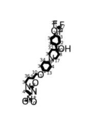 O=[N+]([O-])c1cn2c(n1)OC(COc1ccc(N3CCC(O)(c4ccc(OC(F)(F)F)cc4)CC3)cc1)CC2